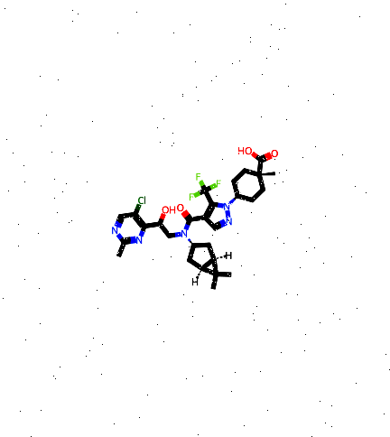 Cc1ncc(Cl)c(C(O)CN(C(=O)c2cnn([C@H]3CC[C@](C)(C(=O)O)CC3)c2C(F)(F)F)[C@@H]2C[C@@H]3[C@H](C2)C3(C)C)n1